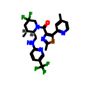 Cc1ccnc(-c2sc(C)nc2C(=O)N2CC(F)(F)C[C@@H](C)[C@H]2CNc2ccc(C(F)(F)F)cn2)c1